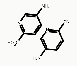 N#Cc1ccc(N)cn1.Nc1ccc(C(=O)O)nc1